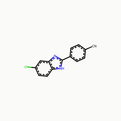 N#Cc1ccc(-c2nc3cc(Cl)ccc3[nH]2)cc1